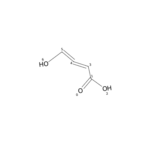 O=C(O)C=C=CO